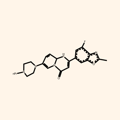 CCCN1CCN(C2=CN3C(=O)C=C(c4cc(F)c5nc(C)oc5c4)PC3C=C2)CC1